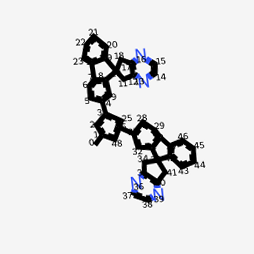 Cc1cc(-c2ccc3c(c2)C2(Cc4nccnc4C2)c2ccccc2-3)cc(-c2ccc3c(c2)C2(Cc4nccnc4C2)c2ccccc2-3)c1